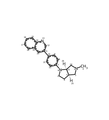 CN1C[C@H]2CCN(c3ccc(-c4cnc5ccccc5c4)cc3)[C@H]2C1